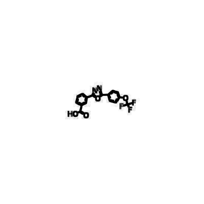 O=C(O)c1cccc(-c2nnc(-c3ccc(OC(F)(F)F)cc3)o2)c1